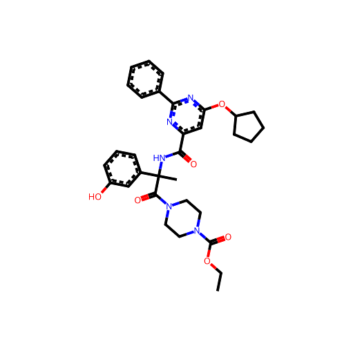 CCOC(=O)N1CCN(C(=O)C(C)(NC(=O)c2cc(OC3CCCC3)nc(-c3ccccc3)n2)c2cccc(O)c2)CC1